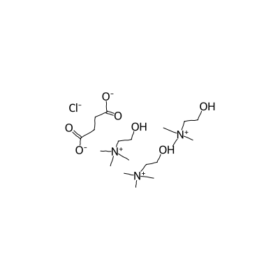 C[N+](C)(C)CCO.C[N+](C)(C)CCO.C[N+](C)(C)CCO.O=C([O-])CCC(=O)[O-].[Cl-]